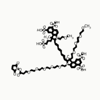 COCCOCCOCCOCCC1(C)\C(=C/C=C/C=C/C=C/C2=[N+](CCOC)c3ccc4c(S(=O)(=O)O)cc(S(=O)(=O)O)cc4c3C2(C)CCCS(=O)(=O)O)N(CCOCCOCCOCCOCCOCCC(=O)ON2C(=O)CCC2=O)c2ccc3c(S(=O)(=O)O)cc(S(=O)(=O)O)cc3c21